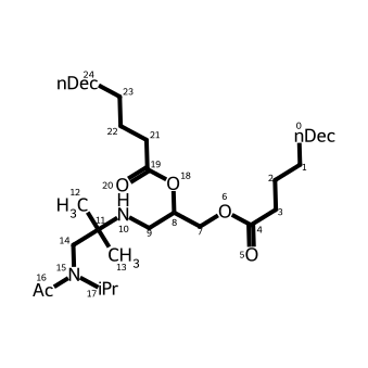 CCCCCCCCCCCCCC(=O)OCC(CNC(C)(C)CN(C(C)=O)C(C)C)OC(=O)CCCCCCCCCCCCC